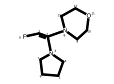 F/C=C(\N1CCCC1)N1CCOCC1